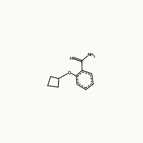 N=C(N)c1ccccc1OC1CCC1